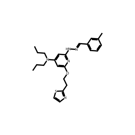 CCCN(CCC)c1cc(N/N=C/c2cccc(C)c2)nc(OCCc2nccs2)c1